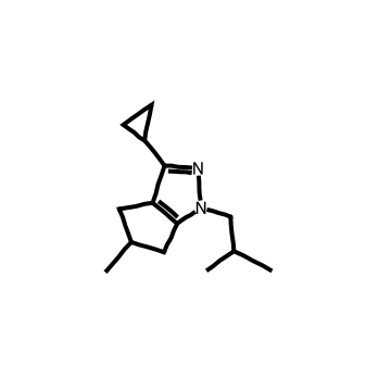 CC(C)Cn1nc(C2CC2)c2c1CC(C)C2